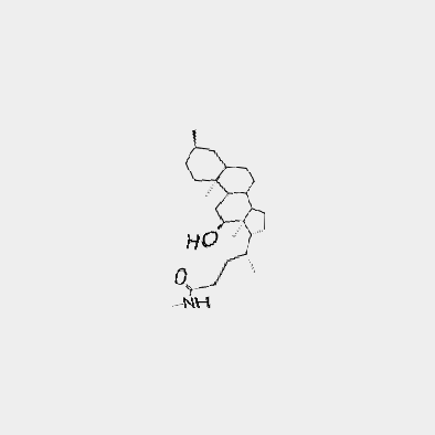 CNC(=O)CC[C@@H](C)[C@H]1CCC2C3CCC4C[C@H](C)CC[C@]4(C)C3C[C@H](O)[C@@]21C